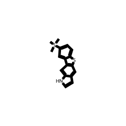 CS(C)(C)c1ccc2sc3cc4cc[nH]c4cc3c2c1